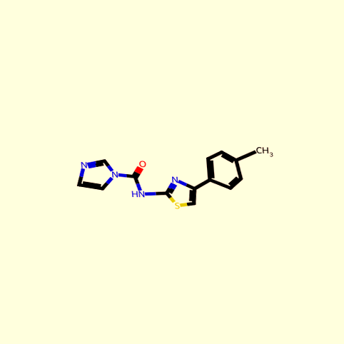 Cc1ccc(-c2csc(NC(=O)n3ccnc3)n2)cc1